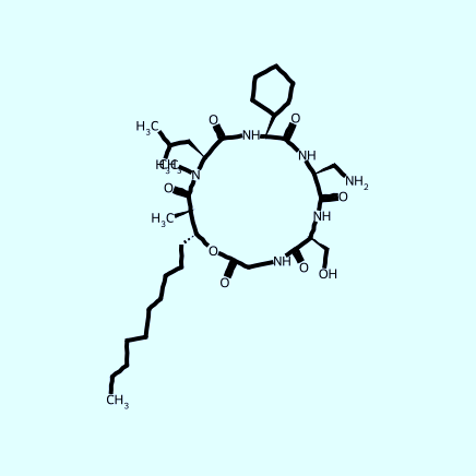 CCCCCCCCCC[C@H]1OC(=O)CNC(=O)[C@H](CO)NC(=O)[C@H](CN)NC(=O)[C@H](C2CCCCC2)NC(=O)[C@H](CC(C)C)N(C)C(=O)[C@@H]1C